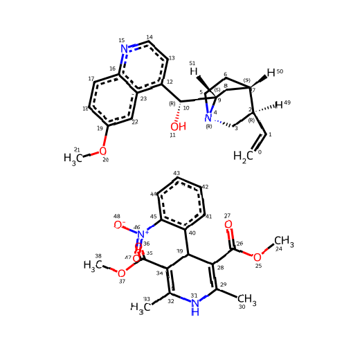 C=C[C@H]1C[N@]2CC[C@H]1C[C@H]2[C@H](O)c1ccnc2ccc(OC)cc12.COC(=O)C1=C(C)NC(C)=C(C(=O)OC)C1c1ccccc1[N+](=O)[O-]